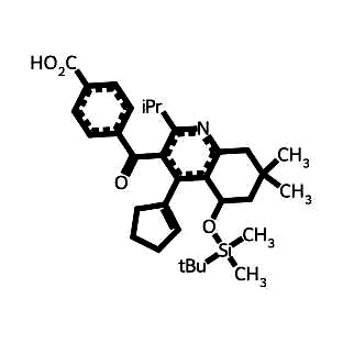 CC(C)c1nc2c(c(C3=CCCC3)c1C(=O)c1ccc(C(=O)O)cc1)C(O[Si](C)(C)C(C)(C)C)CC(C)(C)C2